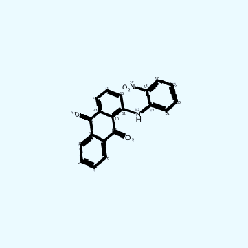 O=C1c2ccccc2C(=O)c2c(Nc3ccccc3[N+](=O)[O-])cccc21